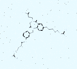 N=C(N)NCCCCCc1ccc2c(c1)C(=O)N(CCC(=O)O)CC(=O)N2Cc1cccc(NC(=O)CCCNC(=N)N)c1